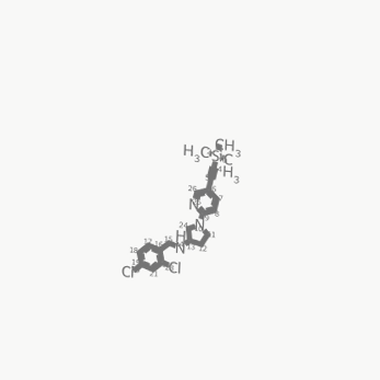 C[Si](C)(C)C#Cc1ccc(N2CCC(NCc3ccc(Cl)cc3Cl)C2)nc1